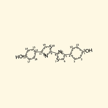 Oc1ccc(-c2csc(-c3nc(-c4ccc(O)cc4)cs3)n2)cc1